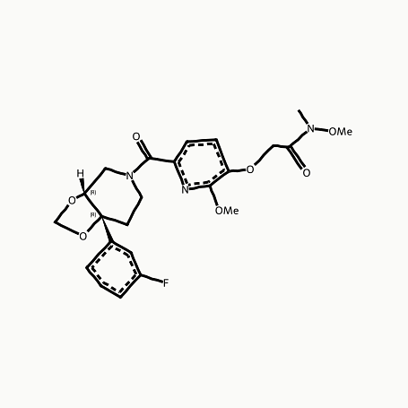 COc1nc(C(=O)N2CC[C@]3(c4cccc(F)c4)OCO[C@@H]3C2)ccc1OCC(=O)N(C)OC